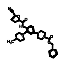 CC1CCN(c2cc(N3CCN(C(=O)OCc4ccccc4)CC3)ccc2NC(=O)C2CC=C(C#N)O2)CC1